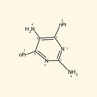 CCCc1nc(N)nc(CCC)c1N